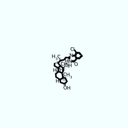 C[C@H](CCc1nc2c(Cl)cccc2c(=O)[nH]1)[C@H]1CC[C@H]2[C@@H]3CC[C@@H]4C[C@H](O)CC[C@]4(C)C3C[C@H](O)[C@]12C